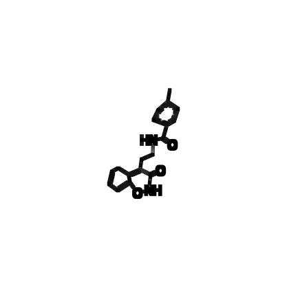 Cc1ccc(C(=O)NCCC2=C3CC=CC=C3ONC2=O)cc1